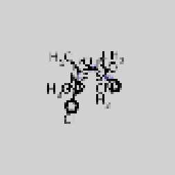 CCN1CO/C(=c2/s/c(=C3/C=CC=CN3C)c(=O)n2CC)S/C1=N\c1scc(-c2ccc(Cl)cc2)[n+]1C